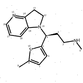 CNCC[C@@H](c1ccc(C)s1)N1CCc2ncccc21